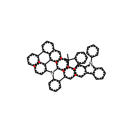 CC1(C)c2ccccc2-c2ccc(-c3ccccc3N(c3cccc(-c4ccc5c6ccccc6n(-c6ccccc6)c5c4)c3)c3ccccc3-c3cccc4cccc(-c5ccccc5)c34)cc21